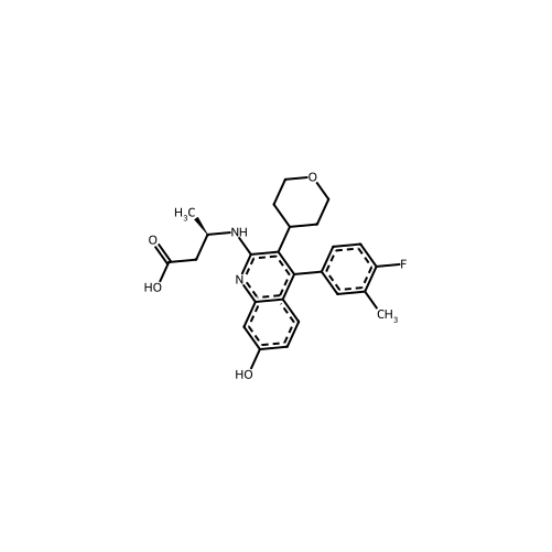 Cc1cc(-c2c(C3CCOCC3)c(N[C@H](C)CC(=O)O)nc3cc(O)ccc23)ccc1F